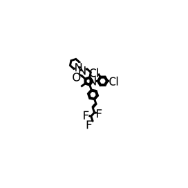 Cc1c2c(n(-c3ccc(Cl)cc3Cl)c1-c1ccc(C=CC(F)C(F)CF)cc1)CCN(N1CCCCC1)C2=O